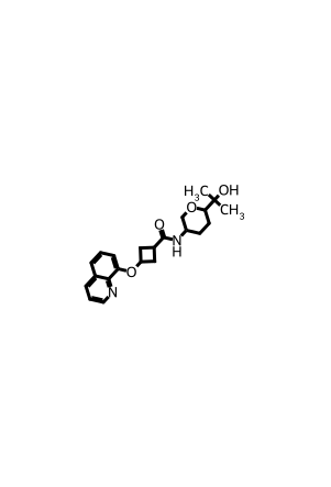 CC(C)(O)C1CCC(NC(=O)C2CC(Oc3cccc4cccnc34)C2)CO1